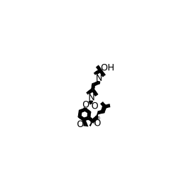 CC(C)=CC[C@H]1O[C@]1(C)C1CC(OC(=O)N2CC(CCN3CC(C)(O)C3)C2)CCC12CO2